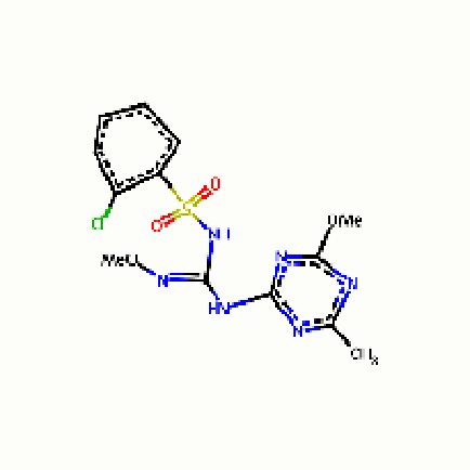 CON=C(Nc1nc(C)nc(OC)n1)NS(=O)(=O)c1ccccc1Cl